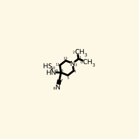 CC(C)N1CCC(C#N)(NS)CC1